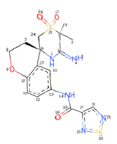 CC1(C)C(=N)N[C@@]2(CCOc3ccc(NC(=O)c4cnsn4)cc32)CS1(=O)=O